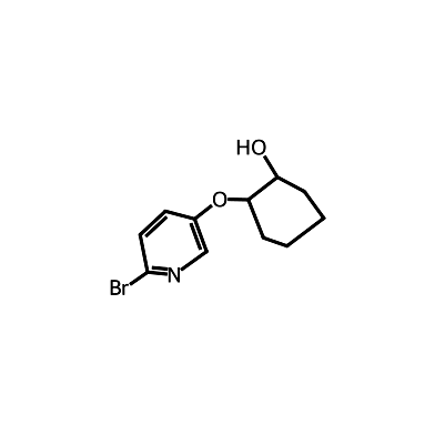 OC1CCCCC1Oc1ccc(Br)nc1